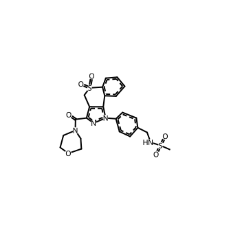 CS(=O)(=O)NCc1ccc(-n2nc(C(=O)N3CCOCC3)c3c2-c2ccccc2S(=O)(=O)C3)cc1